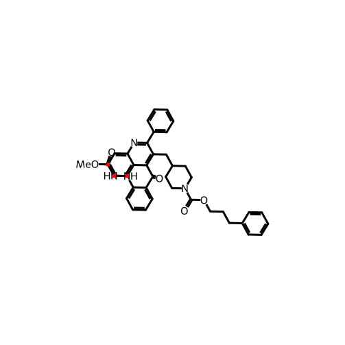 COC(=O)NNc1ccccc1C(=O)c1c(CC2CCN(C(=O)OCCCc3ccccc3)CC2)c(-c2ccccc2)nc2ccccc12